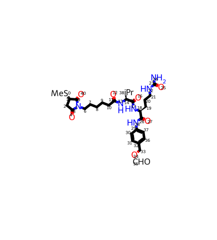 CSC1CC(=O)N(CCCCCC(=O)N[C@H](C(=O)N[C@@H](CCCNC(N)=O)C(=O)Nc2ccc(COC=O)cc2)C(C)C)C1=O